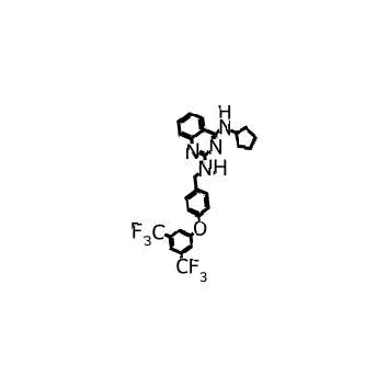 FC(F)(F)c1cc(Oc2ccc(CNc3nc(NC4CCCC4)c4ccccc4n3)cc2)cc(C(F)(F)F)c1